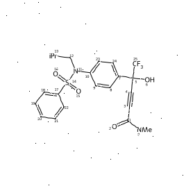 CNC(=O)C#CC(O)(c1ccc(N(CC(C)C)S(=O)(=O)c2ccccc2)cc1)C(F)(F)F